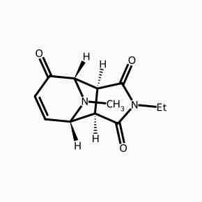 CCN1C(=O)[C@@H]2[C@H](C1=O)[C@H]1C(=O)C=C[C@@H]2N1C